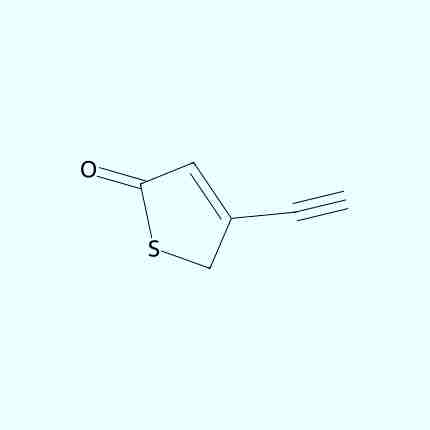 C#CC1=CC(=O)SC1